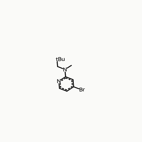 CN(CC(C)(C)C)c1cc(Br)ccn1